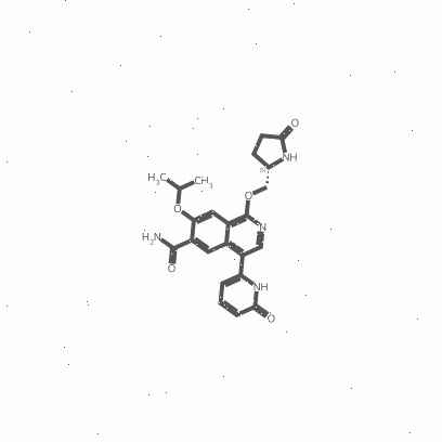 CC(C)Oc1cc2c(OC[C@@H]3CCC(=O)N3)ncc(-c3cccc(=O)[nH]3)c2cc1C(N)=O